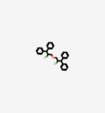 ClC(COCC(Cl)C(c1ccccc1)c1ccccc1)C(c1ccccc1)c1ccccc1